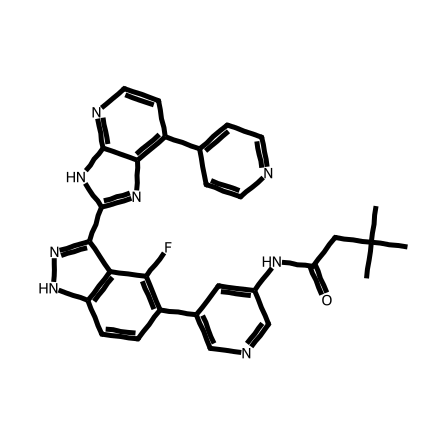 CC(C)(C)CC(=O)Nc1cncc(-c2ccc3[nH]nc(-c4nc5c(-c6ccncc6)ccnc5[nH]4)c3c2F)c1